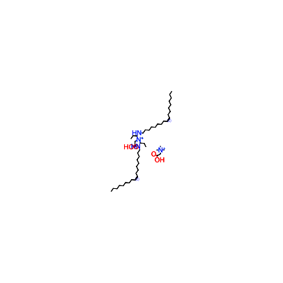 CCCCCCCC/C=C\CCCCCCCCNC(CC)[N+](C)(CC(=O)O)C(CC)NCCCCCCCC/C=C\CCCCCCCC.C[N+](C)(C)CC(=O)O